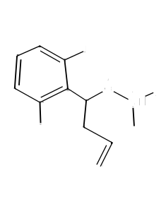 C=CCC(O[SiH](C)C)c1c(F)cccc1F